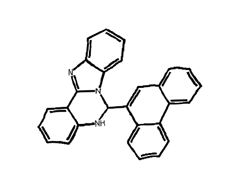 c1ccc2c(c1)NC(c1cc3ccccc3c3ccccc13)n1c-2nc2ccccc21